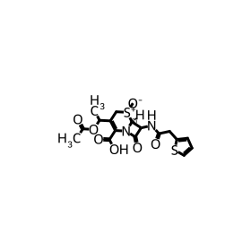 CC(=O)OC(C)C1=C(C(=O)O)N2C(=O)C(NC(=O)Cc3cccs3)[C@@H]2[S+]([O-])C1